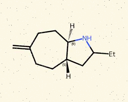 C=C1CC[C@H]2CC(CC)N[C@@H]2CC1